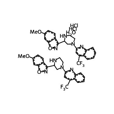 COc1ccc2c(C3CN(c4cc(C(F)(F)F)c5ccccc5n4)CCN3)noc2c1.COc1ccc2c(C3CN(c4cc(C(F)(F)F)c5ccccc5n4)CCN3)noc2c1.Cl.Cl.O